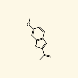 C=C(C)c1cc2ccc(OC)cc2s1